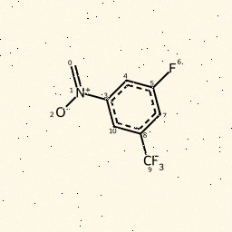 C=[N+]([O-])c1cc(F)cc(C(F)(F)F)c1